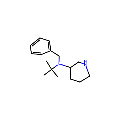 CC(C)(C)N(Cc1ccccc1)C1CCCNC1